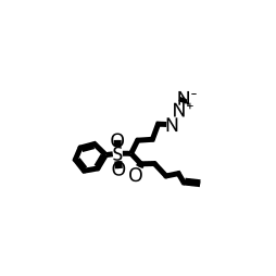 C=CCCCC(=O)C(CCCN=[N+]=[N-])S(=O)(=O)c1ccccc1